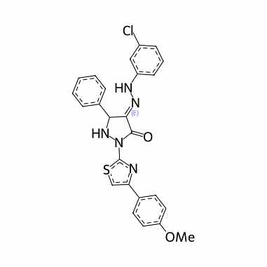 COc1ccc(-c2csc(N3NC(c4ccccc4)/C(=N\Nc4cccc(Cl)c4)C3=O)n2)cc1